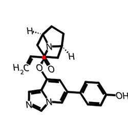 C=CC(=O)N1[C@@H]2CC[C@H]1C[C@@H](Oc1cc(-c3ccc(O)cc3)cn3cncc13)C2